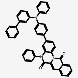 O=c1c2cc3ccccc3c(=O)n2c2ccc(-c3ccc(N(c4ccccc4)c4cccc(-c5ccccc5)c4)cc3)cc2n1-c1ccccc1